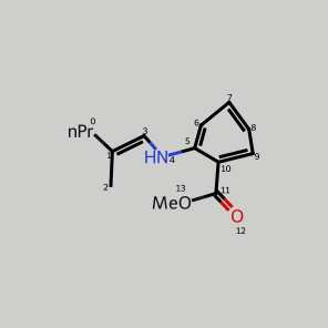 CCC/C(C)=C/Nc1ccccc1C(=O)OC